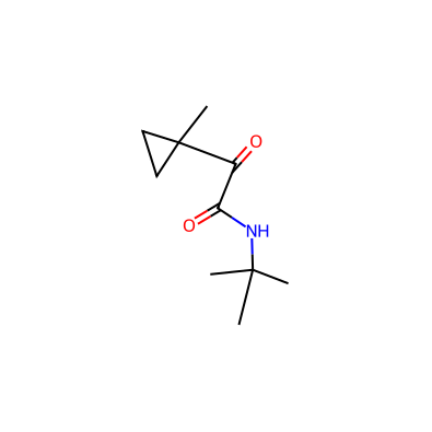 CC(C)(C)NC(=O)C(=O)C1(C)CC1